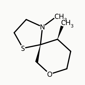 C[C@H]1CCOC[C@]12SCCN2C